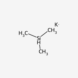 C[SiH](C)C.[K]